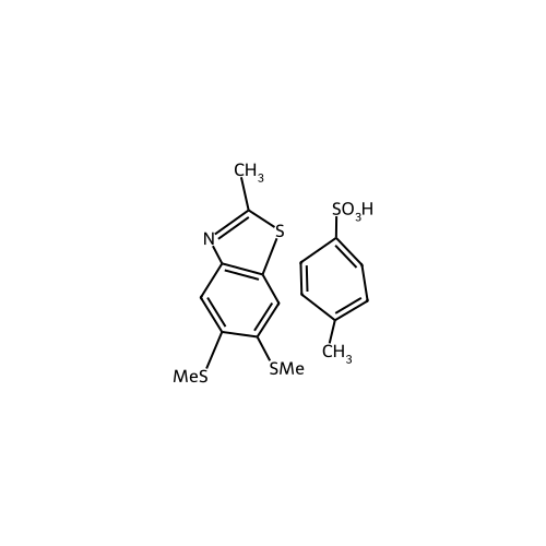 CSc1cc2nc(C)sc2cc1SC.Cc1ccc(S(=O)(=O)O)cc1